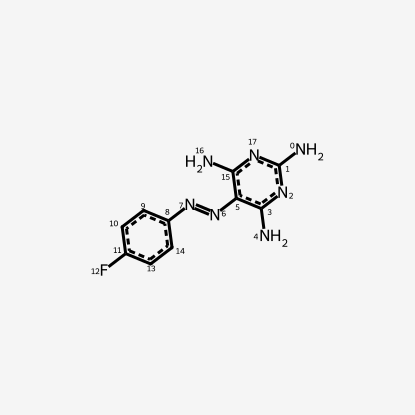 Nc1nc(N)c(N=Nc2ccc(F)cc2)c(N)n1